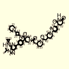 CC(C)n1cnc2cc(-c3ccc4c(c3)N(C3CC(N5CCCCC5)C3)C(=O)C43CCN(C(=O)C[C@@H]4CCCN(C(=O)CC5CCN(c6ccc([C@H]7CCC(=O)NC7=O)cn6)CC5)C4)CC3)nc(NC3CC3)c21